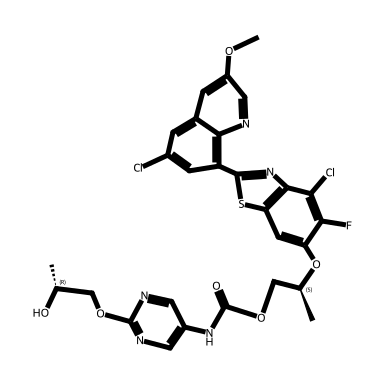 COc1cnc2c(-c3nc4c(Cl)c(F)c(O[C@@H](C)COC(=O)Nc5cnc(OC[C@@H](C)O)nc5)cc4s3)cc(Cl)cc2c1